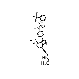 CCNCC#Cc1cnc(N)c2c(-c3ccc(NC(=O)Nc4ccccc4C(F)(F)F)cc3)csc12